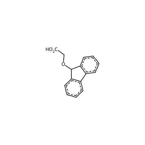 O=C(O)COC1c2ccccc2-c2ccccc21